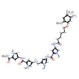 COC(=O)c1cc(NC(=O)c2cc(NCc3cc(NC(=O)c4cc(NC(=O)CCCCCOc5cc(N)c(C(=O)O)cc5OC)cn4C)cn3C)cn2C)cn1C